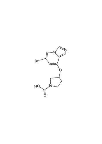 O=C(O)N1CCC(Oc2cc(Br)cn3cncc23)C1